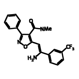 CNC(=O)c1c(-c2ccccc2)noc1C=C(N)c1cccc(C(F)(F)F)c1